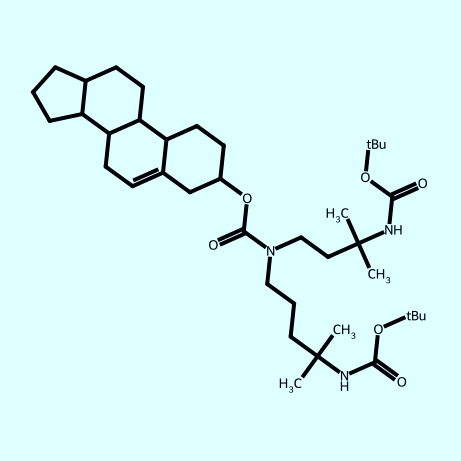 CC(C)(CCCN(CCC(C)(C)NC(=O)OC(C)(C)C)C(=O)OC1CCC2C(=CCC3C4CCCC4CCC23)C1)NC(=O)OC(C)(C)C